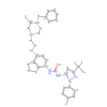 Cc1ccc(-n2nc(C(C)(C)C)cc2NC(=O)Nc2ccc(OCCN3CCN(Cc4ccccc4)C(=O)C3)c3c2CCC3)cc1